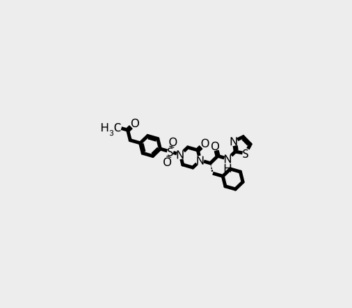 CC(=O)Cc1ccc(S(=O)(=O)N2CCN([C@@H](CC3CCCCC3)C(=O)Nc3nccs3)C(=O)C2)cc1